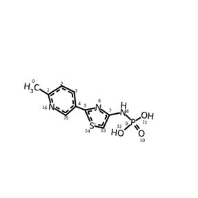 Cc1ccc(-c2nc(NP(=O)(O)O)cs2)cn1